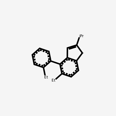 CCc1ccccc1-c1c(CC)ccc2c1C=C(C(C)C)[CH]2